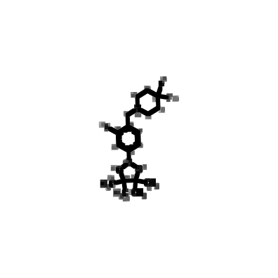 CC1(C)OB(c2ccc(CN3CCC(F)(F)CC3)c(F)c2)OC1(C)C